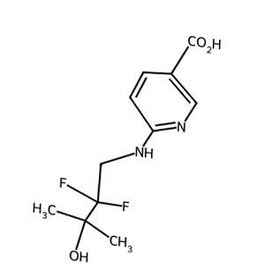 CC(C)(O)C(F)(F)CNc1ccc(C(=O)O)cn1